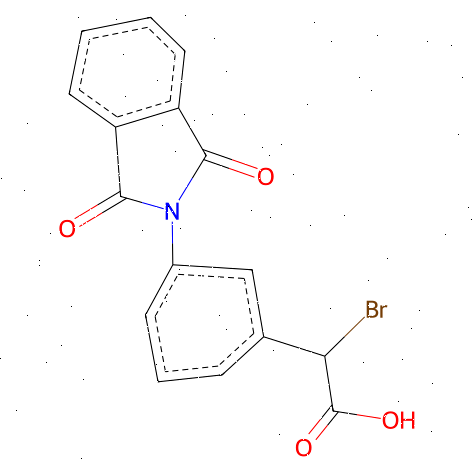 O=C(O)C(Br)c1cccc(N2C(=O)c3ccccc3C2=O)c1